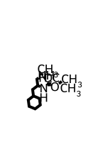 CNCC(CC1CCCCC1)NC(=O)OC(C)(C)C